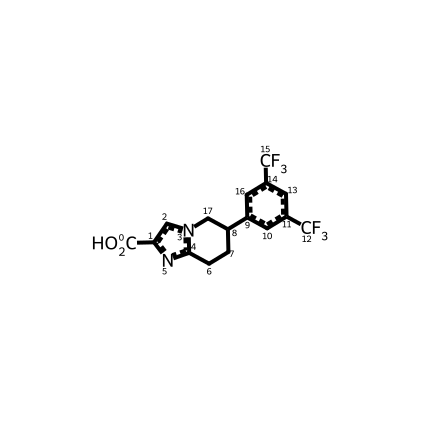 O=C(O)c1cn2c(n1)CCC(c1cc(C(F)(F)F)cc(C(F)(F)F)c1)C2